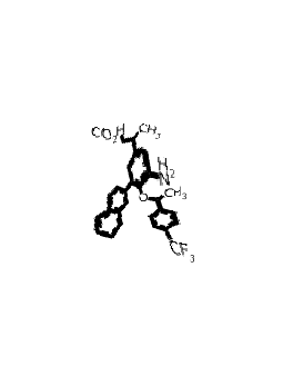 CC(CC(=O)O)c1cc(N)c(OC(C)c2ccc(C(F)(F)F)cc2)c(-c2ccc3ccccc3c2)c1